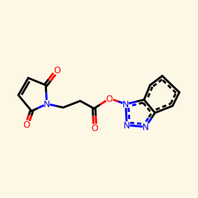 O=C(CCN1C(=O)C=CC1=O)On1nnc2ccccc21